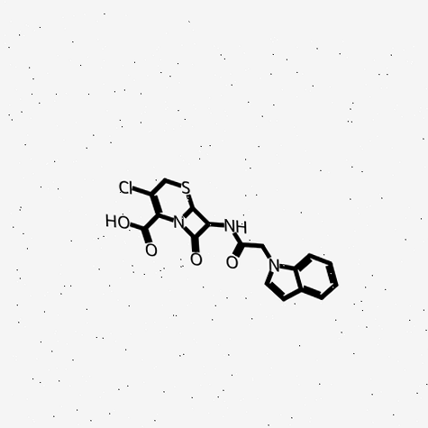 O=C(Cn1ccc2ccccc21)NC1C(=O)N2C(C(=O)O)=C(Cl)CSC12